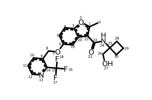 Cc1oc2ccc(OCc3cccnc3C(F)(F)F)cc2c1C(=O)NC1(CO)CCC1